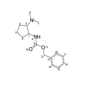 CN(C)C1CCCC1NC(=O)OCc1ccccc1